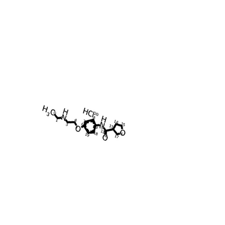 CCNCCOc1ccc(NC(=O)C2CCOC2)cc1.Cl